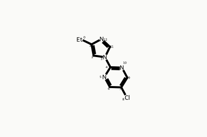 CCc1cn(-c2ncc(Cl)cn2)cn1